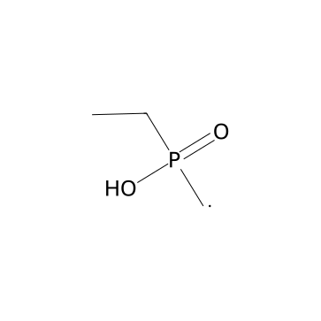 [CH2]P(=O)(O)CC